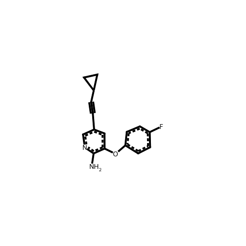 Nc1ncc(C#CC2CC2)cc1Oc1ccc(F)cc1